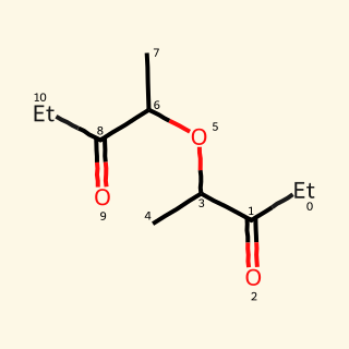 CCC(=O)C(C)OC(C)C(=O)CC